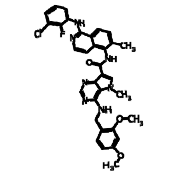 COc1ccc(CNc2ncnc3c(C(=O)Nc4c(C)ccc5c(Nc6cccc(Cl)c6F)nccc45)cn(C)c23)c(OC)c1